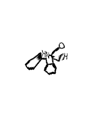 N=C(C=O)NC(c1ccccc1)c1ccccc1